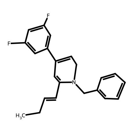 CCC=CC1=CC(c2cc(F)cc(F)c2)=CCN1Cc1ccccc1